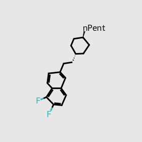 CCCCC[C@H]1CC[C@H](CCc2ccc3c(F)c(F)ccc3c2)CC1